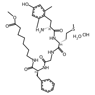 COC(=O)CCCCCCNC(=O)[C@H](Cc1ccccc1)NC(=O)CNC(=O)[C@@H](CCSC)NC(=O)[C@H](N)Cc1c(C)cc(O)cc1C.Cl.O